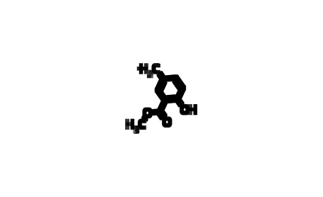 [CH2]c1ccc(O)c(C(=O)OC)c1